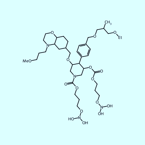 CCOCC(C)COCc1ccc(C2C(OCC3CCC4OCCN(CCCOC)C4C3)CN(C(=O)OCCCON(O)O)CC2OC(=O)OCCCON(O)O)cc1